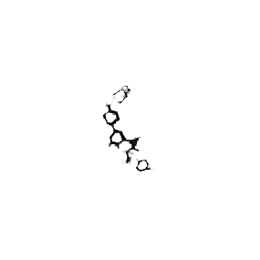 O=C(c1ccc(-c2cc(Cl)c(C[C@@H]3CCN(C4CCC(F)(F)CC4)C3=O)c(C3CC3)c2)cc1)N1CCS(=O)(=O)CC1